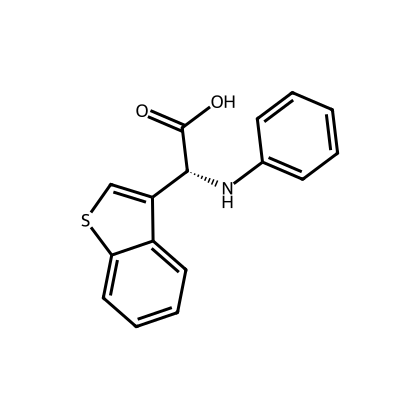 O=C(O)[C@H](Nc1ccccc1)c1csc2ccccc12